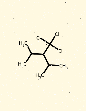 CC(C)C(C(C)C)C(Cl)(Cl)Cl